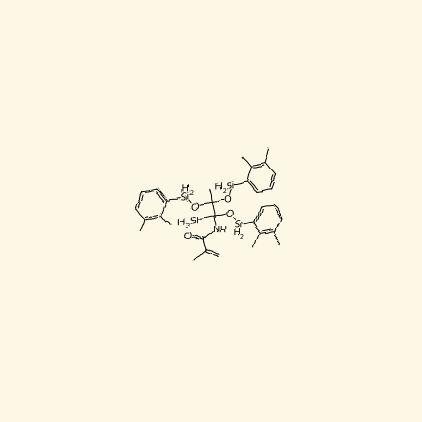 C=C(C)C(=O)NC([SiH3])(O[SiH2]c1cccc(C)c1C)C(C)(O[SiH2]c1cccc(C)c1C)O[SiH2]c1cccc(C)c1C